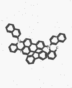 Fc1ccccc1N(c1ccc2c(c1)C1(c3ccccc3-c3ccccc31)c1cccc3c(N(c4ccc5ccccc5c4)c4ccccc4F)ccc-2c13)c1ccc2ccccc2c1